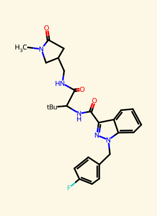 CN1CC(CNC(=O)C(NC(=O)c2nn(Cc3ccc(F)cc3)c3ccccc23)C(C)(C)C)CC1=O